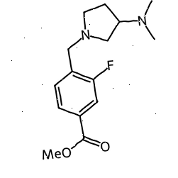 COC(=O)c1ccc(CN2CCC(N(C)C)C2)c(F)c1